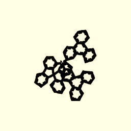 c1ccc2c(c1)-c1ccccc1C21c2ccccc2-c2cccc(N(c3ccc4c5ccccc5c5ccccc5c4c3)c3ccc4c5ccccc5c5ccccc5c4c3)c21